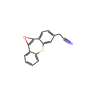 N#CCc1ccc2c3oc=3c3ccccc3sc2c1